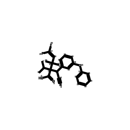 CC(C)C(C(=O)O)(C(C#N)c1cccc(Oc2ccccc2)c1)C(C)(C)C=C(F)F